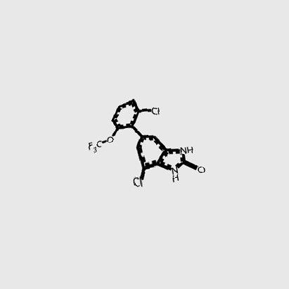 O=c1[nH]c2cc(-c3c(Cl)cccc3OC(F)(F)F)cc(Cl)c2[nH]1